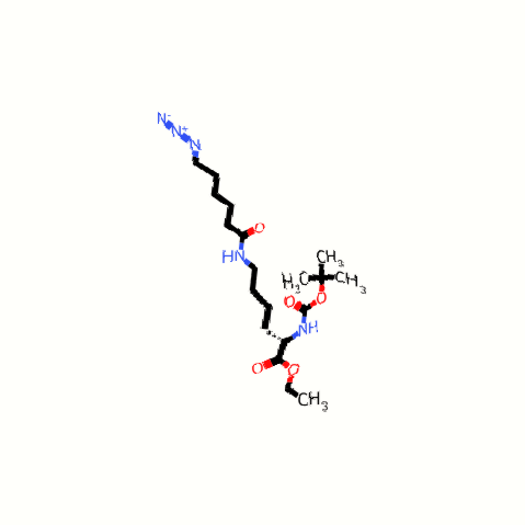 CCOC(=O)[C@H](CCCCNC(=O)CCCCCN=[N+]=[N-])NC(=O)OC(C)(C)C